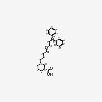 O=C(O)[C@@H]1CCCN(CCCCOCCN(c2ccccc2)c2ccccc2)C1